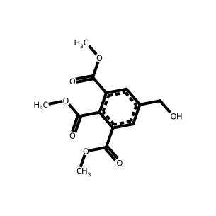 COC(=O)c1cc(CO)cc(C(=O)OC)c1C(=O)OC